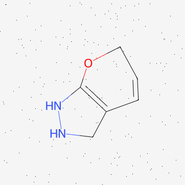 C1=CC2=C(NNC2)OC1